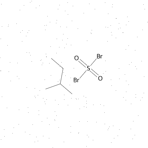 CCC(C)C.O=S(=O)(Br)Br